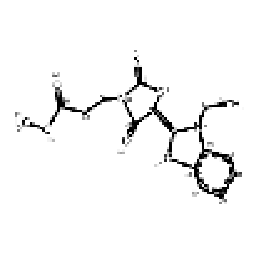 CCN1/C(=C2\SC(=S)N(CCC(=O)OC)C2=O)Oc2ccccc21